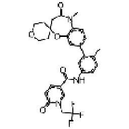 Cc1ccc(NC(=O)c2ccc(=O)n(CC(F)(F)F)c2)cc1-c1ccc2c(c1)OC1(CCOCC1)CC(=O)N2C